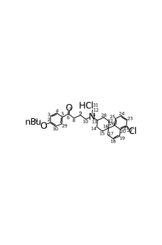 CCCCOc1ccc(C(=O)CCCN(C)C2CCC3(CC=Cc4c(Cl)cccc43)CC2)cc1.Cl